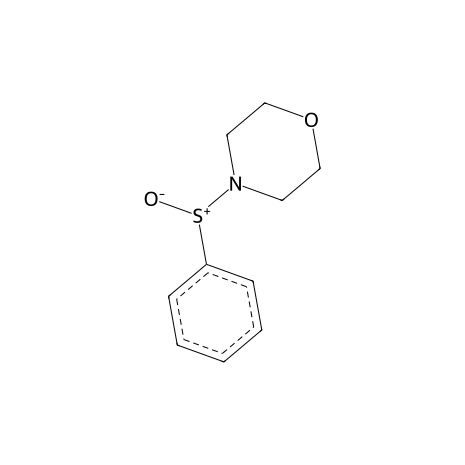 [O-][S+](c1ccccc1)N1CCOCC1